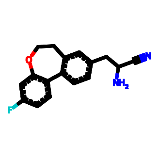 N#CC(N)Cc1ccc2c(c1)CCOc1cc(F)ccc1-2